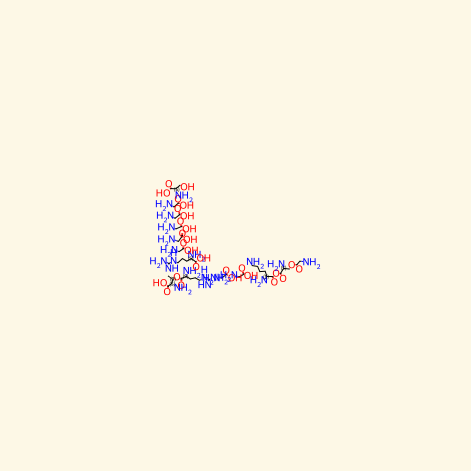 C[C@@H](OC(=O)[C@@H](N)CCCNC(=N)N)[C@H](N)C(=O)O.N=C(N)NCCC[C@H](N)C(=O)O.NCC(=O)O.NCC(=O)O.NCC(=O)O.NCC(=O)O.NCC(=O)O.NCC(=O)O.NCC(=O)O.NCCCC[C@H](N)C(=O)OC(=O)[C@@H](N)COC(=O)CN.N[C@@H](CO)C(=O)O